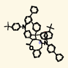 C=C1Oc2ccccc2C/C(N(c2ccc(-c3ccccc3)cc2)c2ccc(C(C)(C)C)cc2)=C\C2=C1c1ccc(N(c3ccc(-c4ccccc4)cc3)c3ccc(C(C)(C)C)cc3)cc1C2(c1ccccc1)c1cccc(C)c1